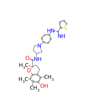 Cc1c(C)c2c(c(C)c1O)CCC(C)(C(=O)NC1CCN(c3ccc(NC(=N)c4cccs4)cc3)C1)O2